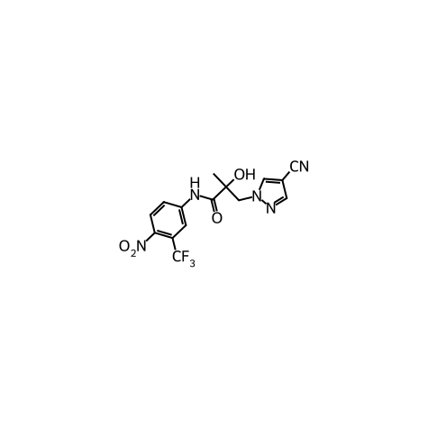 CC(O)(Cn1cc(C#N)cn1)C(=O)Nc1ccc([N+](=O)[O-])c(C(F)(F)F)c1